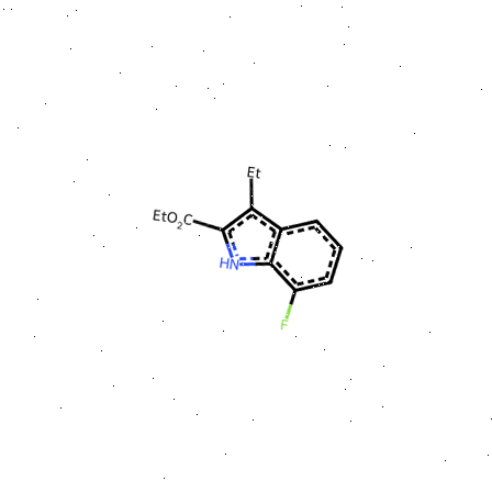 CCOC(=O)c1[nH]c2c(F)cccc2c1CC